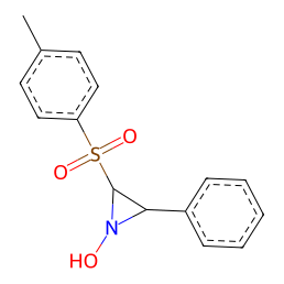 Cc1ccc(S(=O)(=O)C2C(c3ccccc3)N2O)cc1